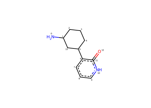 NC1CCCC(c2ccc[nH]c2=O)C1